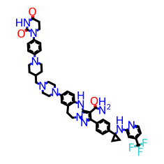 NC(=O)c1c(-c2ccc(C3(Nc4cc(C(F)(F)F)ccn4)CC3)cc2)nn2c1Nc1ccc(N3CCN(CC4CCN(c5ccc(N6CCC(=O)NC6=O)cc5)CC4)CC3)cc1CC2